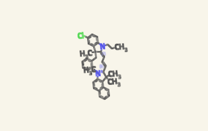 CCCN1/C(=C/C=C/C2=[N+](C)c3ccc4ccccc4c3C2(C)C)C(C)(Cc2ccccc2)c2cc(Cl)ccc21